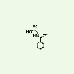 C=C=C(NCC(O)C(C)=O)c1ccccc1